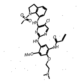 C=CC(=O)Nc1cc(Nc2ncc(Cl)c(Nc3cccc4c3N(S(C)(=O)=O)CC4)n2)c(OC)cc1OCCN(C)C